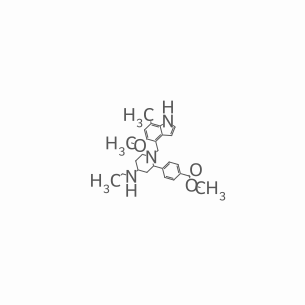 CCNC1CCN(Cc2c(OC)cc(C)c3[nH]ccc23)C(c2ccc(C(=O)OC)cc2)C1